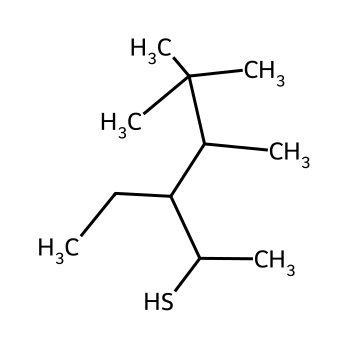 CCC(C(C)S)C(C)C(C)(C)C